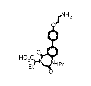 CCC(C(=O)O)N1CC(=O)N(C(C)C)c2ccc(-c3ccc(OCCN)cc3)cc2C1=O